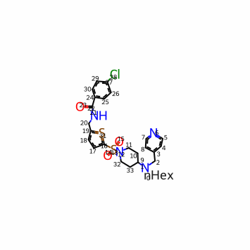 CCCCCCN(Cc1ccncc1)C1CCN(S(=O)(=O)c2ccc(CNC(=O)c3ccc(Cl)cc3)s2)CC1